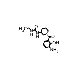 CCNC(=O)NC1CCCN(C(=O)c2cccc(N)c2O)C1